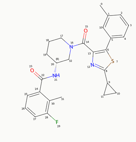 Cc1cccc(-c2sc(C3CC3)nc2C(=O)N2CCC[C@@H](NC(=O)c3cccc(F)c3C)C2)c1